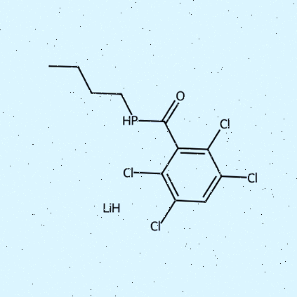 CCCCPC(=O)c1c(Cl)c(Cl)cc(Cl)c1Cl.[LiH]